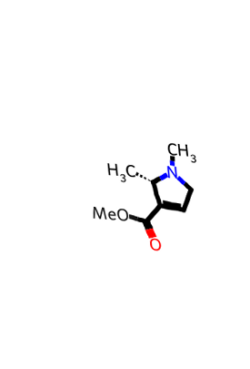 COC(=O)C1=CCN(C)[C@H]1C